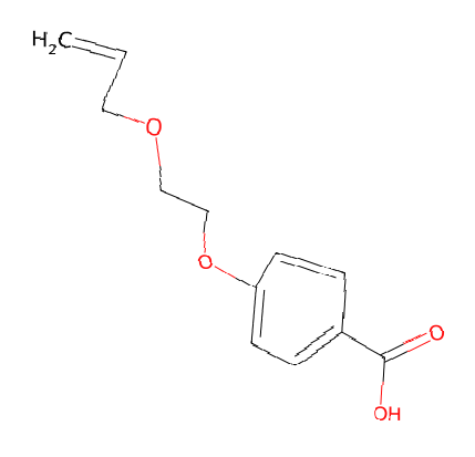 C=CCOCCOc1ccc(C(=O)O)cc1